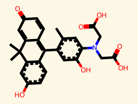 Cc1cc(N(CC(=O)O)CC(=O)O)c(O)cc1C1=C2C=CC(=O)C=C2C(C)(C)c2cc(O)ccc21